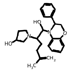 C=C(C)CCC(C(O)N1c2ccccc2OCC1c1ccccc1)N1CCC(O)C1